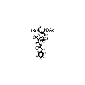 CC(=O)OCC1=C(C(=O)C(C)(C)C)N2C(=O)[C@H](C(C)OC(=O)Cc3ccccc3)[C@@H]2S(=O)(=O)C1